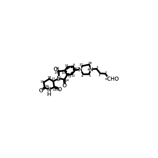 O=CCCCN1CCN(c2ccc3c(c2)C(=O)N(C2CCC(=O)NC2=O)C3=O)CC1